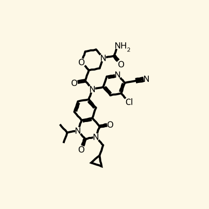 CC(C)n1c(=O)n(CC2CC2)c(=O)c2cc(N(C(=O)C3CN(C(N)=O)CCO3)c3cnc(C#N)c(Cl)c3)ccc21